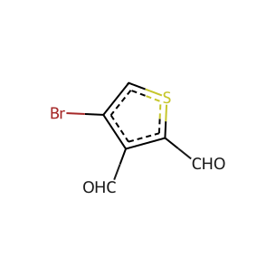 O=Cc1scc(Br)c1C=O